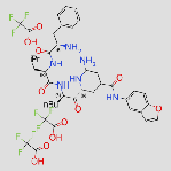 CCCC[C@@H](NC(=O)[C@@H](CC(C)C)NC(=O)[C@H](N)Cc1ccccc1)C(=O)[C@H]1CC(C(=O)Nc2ccc3occc3c2)CC(N)N1.O=C(O)C(F)(F)F.O=C(O)C(F)(F)F.O=C(O)C(F)(F)F